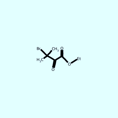 CCOC(=O)C(=O)C(C)(C)Br